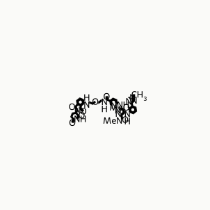 CNC(=O)c1nnc(Nc2ccc(C(=O)NCCOCCNc3cccc4c3C(=O)N(C3CCC(=O)NC3=O)C4=O)cn2)cc1Nc1cccc(-c2ncn(C)n2)c1OC